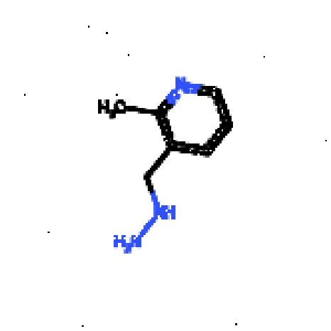 Cc1ncccc1CNN